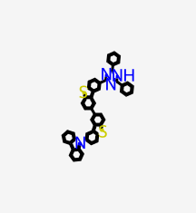 c1ccc(C2=NC(c3ccc4sc5ccc(-c6ccc7sc8ccc(-n9c%10ccccc%10c%10ccccc%109)cc8c7c6)cc5c4c3)=NC(c3ccccc3)N2)cc1